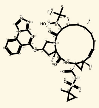 C[C@@H]1CCC=C[C@@H]2C[C@@]2(C(=O)NS(=O)(=O)C2(C)CC2)NC(=O)[C@@H]2C[C@@H](Oc3nc4nncn4c4ccccc34)CN2C(=O)[C@@H](N(C(=O)O)C(C)(C)C(F)(F)F)[C@H](C)C1